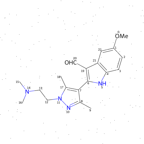 COc1ccc2[nH]c(-c3c(C)nn(CCN(C)C)c3C)c(C=O)c2c1